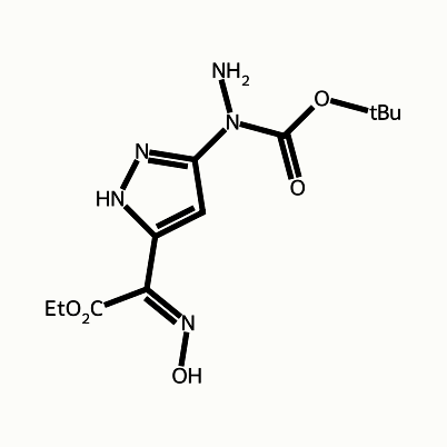 CCOC(=O)/C(=N\O)c1cc(N(N)C(=O)OC(C)(C)C)n[nH]1